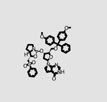 COc1ccc(C(OC[C@H]2O[C@@H](n3ccc4c(=O)[nH]cnc43)C[C@@H]2O[P@@]2O[C@H](CS(=O)(=O)c3ccccc3)[C@@H]3CCCN32)(c2ccccc2)c2ccc(OC)cc2)cc1